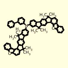 CC1(C)c2cc(N(c3cccc(-c4ccccc4)c3)c3ccc4c(c3)C(C)(C)c3cc5c(cc3-4)C(C)(C)c3ccc4oc6ccccc6c4c3-5)ccc2-c2cc3c(cc21)-c1c(ccc2c1oc1ccccc12)C3(C)C